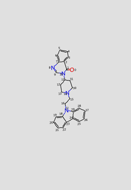 O=c1c2ccccc2ncn1C1CCN(CCn2c3ccccc3c3ccccc32)CC1